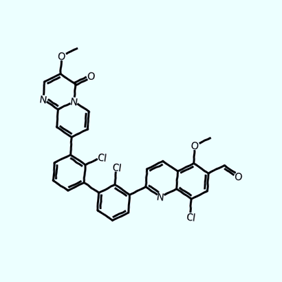 COc1cnc2cc(-c3cccc(-c4cccc(-c5ccc6c(OC)c(C=O)cc(Cl)c6n5)c4Cl)c3Cl)ccn2c1=O